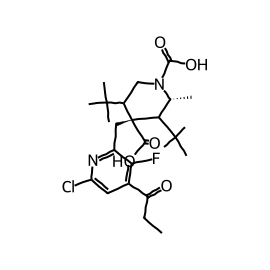 CCC(=O)c1cc(Cl)nc(C[C@@]2(C(=O)O)C(C(C)(C)C)CN(C(=O)O)[C@H](C)C2C(C)(C)C)c1F